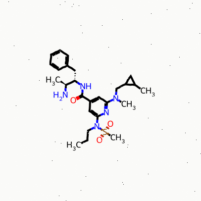 CCCN(c1cc(C(=O)N[C@@H](Cc2ccccc2)[C@H](C)N)cc(N(C)CC2CC2C)n1)S(C)(=O)=O